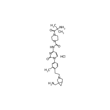 Cc1cc(-n2ccc(NC(=O)N3CCN(C(=O)C(C)(C)N)CC3)nc2=O)ccc1CCN1CC2CC2(CN)C1.Cl